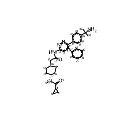 CN(C(=O)C1CC1)[C@H]1CC[C@H](CC(=O)Nc2cc(-c3ccccc3)c(-c3ccc(C(C)(C)N)cc3)nn2)CC1